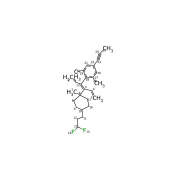 C=C/C(=C(/C=C)C1(C)CCC(CCC(F)F)CC1)c1c(C)cc(C#CC)cc1C